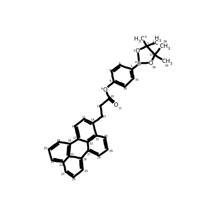 CC1(C)OB(c2ccc(OC(=O)CCc3ccc4c5cccc6cccc(c7cccc3c74)c65)cc2)OC1(C)C